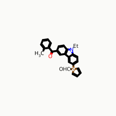 CCn1c2ccc(C(=O)c3ccccc3C)cc2c2cc(S3(C=O)C=CC=C3)ccc21